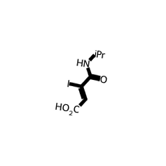 CC(C)NC(=O)/C(I)=C/C(=O)O